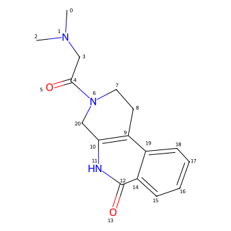 CN(C)CC(=O)N1CCc2c([nH]c(=O)c3ccccc23)C1